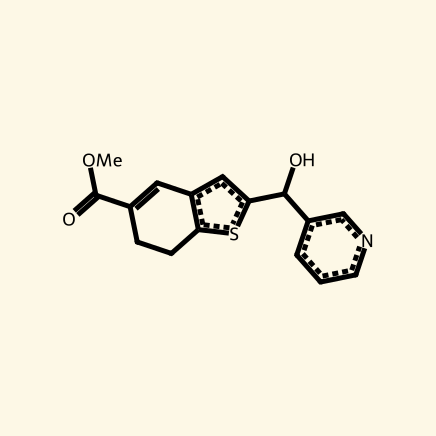 COC(=O)C1=Cc2cc(C(O)c3cccnc3)sc2CC1